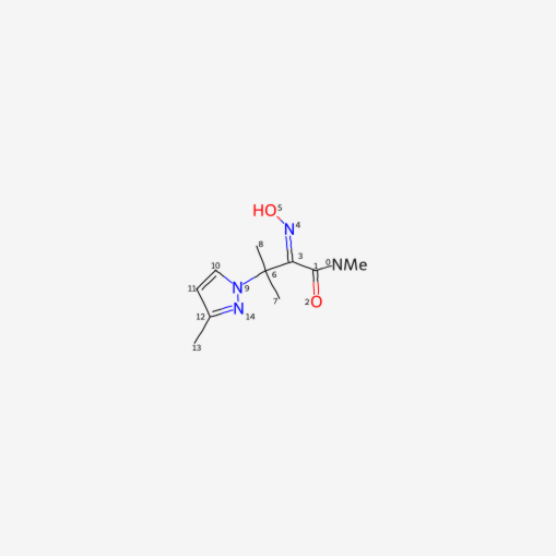 CNC(=O)/C(=N/O)C(C)(C)n1ccc(C)n1